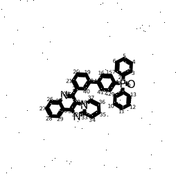 O=P(c1ccccc1)(c1ccccc1)c1ccc(-c2cccc(-c3nc4ccccc4c4nc5ccccn5c34)c2)cc1